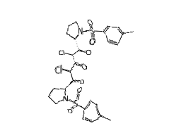 Cc1ccc(S(=O)(=O)N2CCC[C@H]2C(=O)C(Cl)C(=O)C(Cl)C(=O)[C@@H]2CCCN2S(=O)(=O)c2ccc(C)cc2)cc1